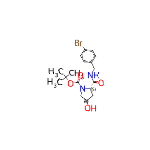 CC(C)(C)OC(=O)N1C[C@H](O)C[C@H]1C(=O)NCc1ccc(Br)cc1